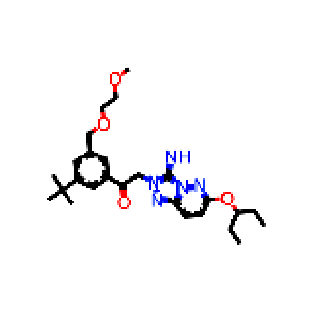 CCC(CC)Oc1ccc2nn(CC(=O)c3cc(COCCOC)cc(C(C)(C)C)c3)c(=N)n2n1